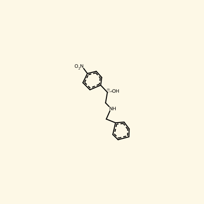 O=[N+]([O-])c1ccc([C@H](O)CNCc2ccccc2)cc1